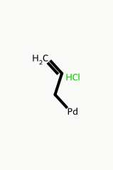 C=C[CH2][Pd].Cl